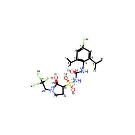 CC(C)c1cc(F)cc(C(C)C)c1NC(=O)NS(=O)(=O)C1CCN(CC(F)(F)F)C1=O